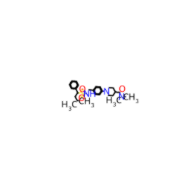 CC(C)CC(c1ccccc1)S(=O)(=O)NCc1ccc(N2CCC(C(=O)N(C)C)CC2)cc1